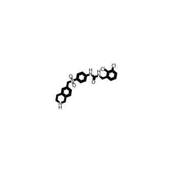 O=C(NCc1cccc(Cl)c1Cl)Nc1ccc(S(=O)(=O)Cc2ccc3c(c2)CCNC3)cc1